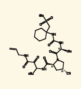 C=CCNC(=O)C(=O)C(CCCC)NC(=O)[C@@H]1C[C@@H](C#N)CN1C(=O)[C@@H](NC(=O)NC1(CS(=O)(=O)C(C)(C)C)CCCCC1)C(C)(C)C